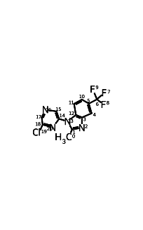 Cc1nc2cc(C(F)(F)F)ccc2n1-c1cncc(Cl)n1